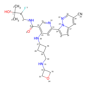 CC(C)(O)C(F)CNC(=O)c1cnc(-c2ccc3cc(C#N)cnn23)cc1NC1CC(CNC2COC2)C1